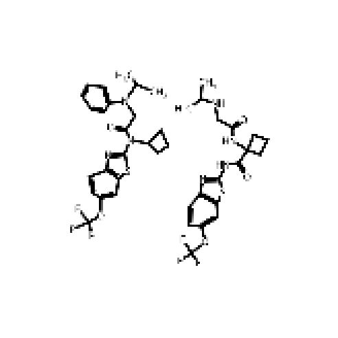 CC(C)N(CC(=O)N(c1nc2ccc(OC(F)(F)F)cc2s1)C1CCC1)c1ccccc1.CC(C)NCC(=O)NC1(C(=O)Nc2nc3ccc(OC(F)(F)F)cc3s2)CCC1